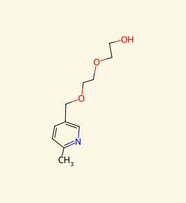 Cc1ccc(COCCOCCO)cn1